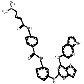 CN(C)CC=CC(=O)Nc1ccc(C(=O)Nc2cccc(Nc3nc(Nc4cnc5[nH]ccc5c4)c4sccc4n3)c2)cc1